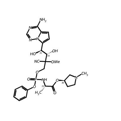 COC(C#N)(COP(=O)(N[C@@H](C)C(=O)O[C@@H]1CCN(C)C1)Oc1ccccc1)[C@@H](O)[C@@H](O)c1ccc2c(N)ncnn12